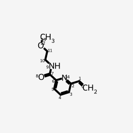 C=Cc1cccc(C(=O)NCCOC)n1